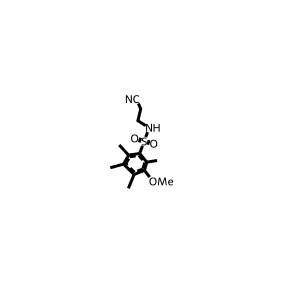 COc1c(C)c(C)c(C)c(S(=O)(=O)NCCC#N)c1C